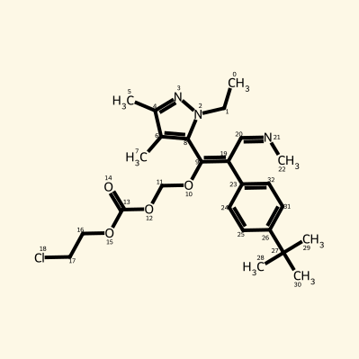 CCn1nc(C)c(C)c1/C(OCOC(=O)OCCCl)=C(\C=N/C)c1ccc(C(C)(C)C)cc1